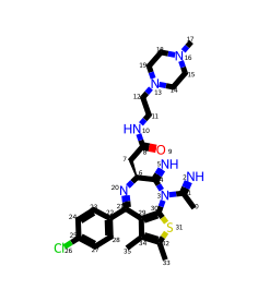 CC(=N)N1C(=N)[C@H](CC(=O)NCCN2CCN(C)CC2)N=C(c2ccc(Cl)cc2)c2c1sc(C)c2C